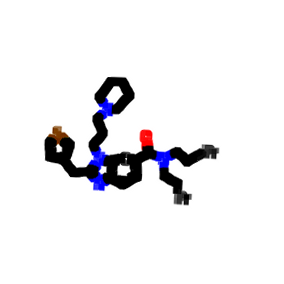 CC(C)CCN(CCC(C)C)C(=O)c1ccc2nc(Cc3ccsc3)n(CCCN3CCCCC3)c2c1